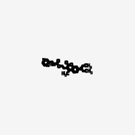 CCN(CC)c1ccc2c(C)c(CCOC(=O)NCc3cnccn3)c(=O)oc2c1